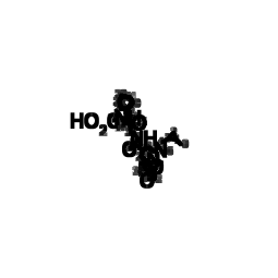 CC1CC1CN(C)c1cc(C(=O)NCC(=O)[C@@](C)(Cc2ccccc2)NC(=O)O)cc(N(C)S(C)(=O)=O)n1